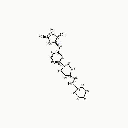 O=C1NC(=O)/C(=C/c2ccnc(N3CCC(CNC4CCCCC4)CC3)n2)S1